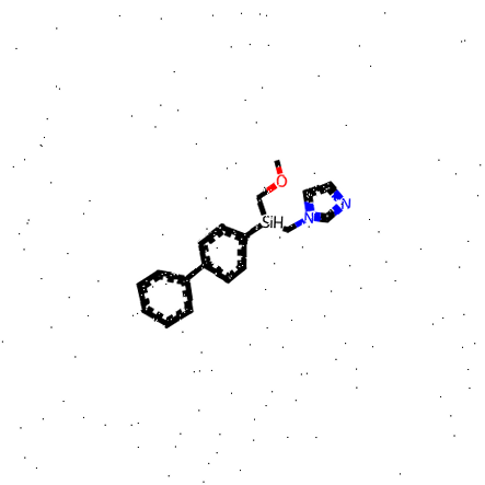 COC[SiH](Cn1ccnc1)c1ccc(-c2ccccc2)cc1